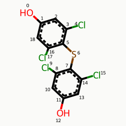 Oc1cc(Cl)c(Sc2c(Cl)cc(O)cc2Cl)c(Cl)c1